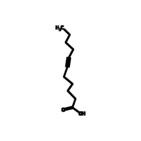 CCCCC#CCCCCC(=O)O